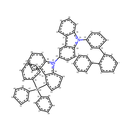 c1ccc(-c2ccccc2-c2cccc(-n3c4ccccc4c4cc(-n5c6ccccc6c6c([Si](c7ccccc7)(c7ccccc7)c7ccccc7)cccc65)ccc43)c2)cc1